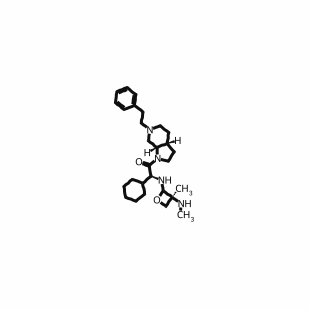 CN[C@@]1(C)COC1N[C@H](C(=O)N1CC[C@H]2CCN(CCc3ccccc3)C[C@H]21)C1CCCCC1